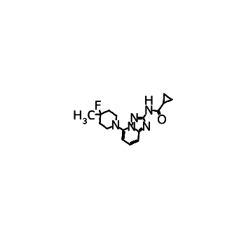 CC1(F)CCN(c2cccc3nc(NC(=O)C4CC4)nn23)CC1